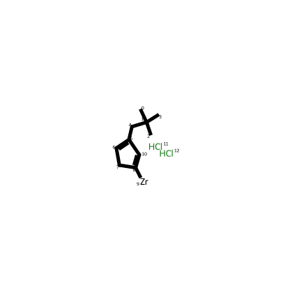 CC(C)(C)CC1=CC[C]([Zr])=C1.Cl.Cl